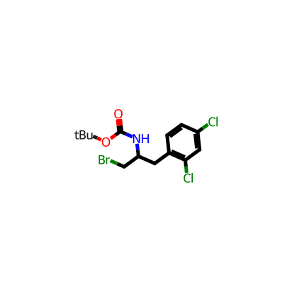 CC(C)(C)OC(=O)NC(CBr)Cc1ccc(Cl)cc1Cl